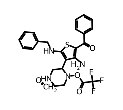 C=O.Nc1c(C(=O)c2ccccc2)sc(NCc2ccccc2)c1C1CNCCN1OC(=O)C(F)(F)F